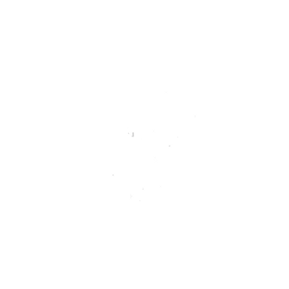 C1CCCCC1.NC(=O)c1ccccc1C(=O)O